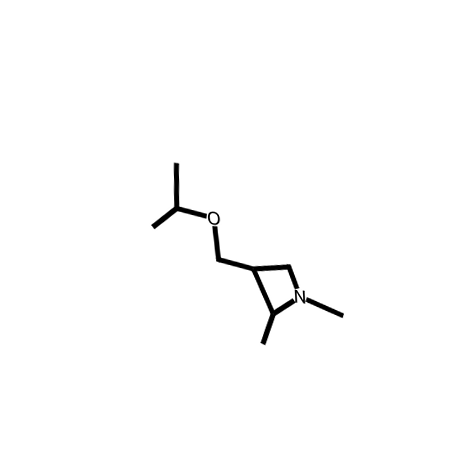 CC(C)OCC1CN(C)C1C